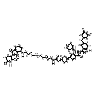 O=C(CN1CCN(c2ccc(C(=O)Nc3n[nH]c4ccc(Cc5cc(F)cc(F)c5)cc34)c(NC3CCOCC3)c2)CC1)NCCOCCOCCOCCNc1cccc2c1C(=O)N(C1CCC(=O)NC1=O)C2=O